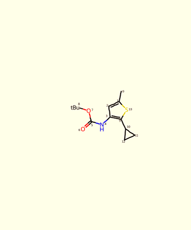 Cc1cc(NC(=O)OC(C)(C)C)c(C2CC2)s1